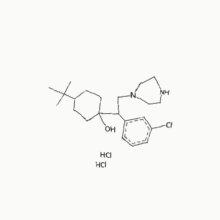 CC(C)(C)C1CCC(O)(C(CN2CCNCC2)c2cccc(Cl)c2)CC1.Cl.Cl